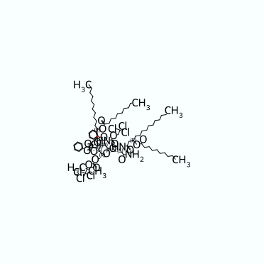 CCCCCCCCCCC[C@H](CC(=O)N[C@@H](CO[C@@H]1O[C@H](COC(=O)OC(C)(C)C(Cl)(Cl)Cl)[C@@H](OP(=O)(Oc2ccccc2)Oc2ccccc2)[C@H](OC(=O)C[C@@H](CCCCCCCCCCC)OC(=O)CCCCCCCCC)[C@H]1NC(=O)OCC(Cl)(Cl)Cl)C(N)=O)OC(=O)CCCCCCCCC